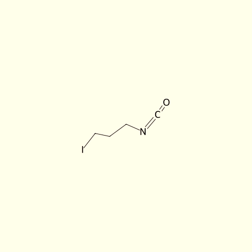 O=C=NCCCI